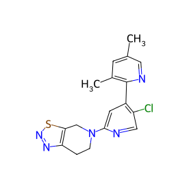 Cc1cnc(-c2cc(N3CCc4nnsc4C3)ncc2Cl)c(C)c1